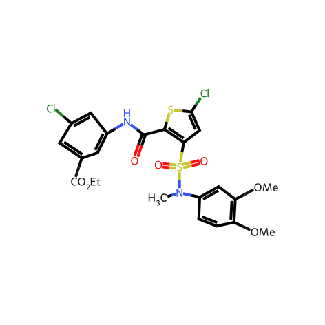 CCOC(=O)c1cc(Cl)cc(NC(=O)c2sc(Cl)cc2S(=O)(=O)N(C)c2ccc(OC)c(OC)c2)c1